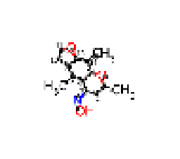 Cc1cc(=NO)c2c(C)c3ccoc3c(C)c2o1